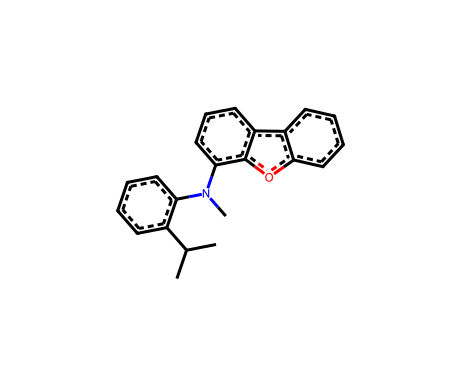 CC(C)c1ccccc1N(C)c1cccc2c1oc1ccccc12